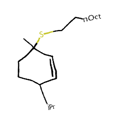 CCCCCCCCCCSC1(C)C=CC(C(C)C)CC1